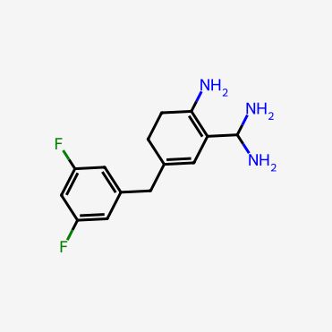 NC1=C(C(N)N)C=C(Cc2cc(F)cc(F)c2)CC1